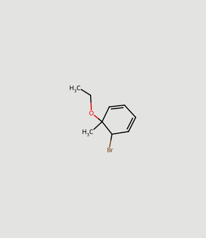 CCOC1(C)C=CC=CC1Br